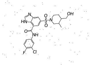 CC1CN(S(=O)(=O)c2cc(C(=O)Nc3ccc(F)c(Cl)c3)c3[nH]cnc3c2)CCC1CO